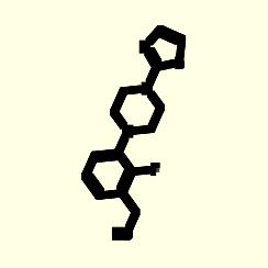 OCc1cccc(N2CCN(c3nccs3)CC2)c1F